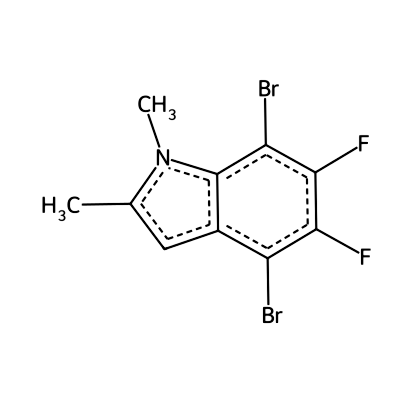 Cc1cc2c(Br)c(F)c(F)c(Br)c2n1C